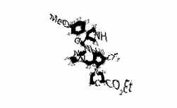 CCOC(=O)[C@@H]1CCCN(c2cc(C(F)(F)F)ccc2Cn2ccnc2NC(=O)[C@@H]2CNC[C@H]2c2ccc(OC)cc2)C1